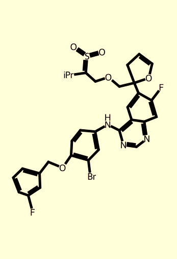 CC(C)C(COCC1(c2cc3c(Nc4ccc(OCc5cccc(F)c5)c(Br)c4)ncnc3cc2F)CC=CO1)=S(=O)=O